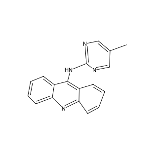 Cc1cnc(Nc2c3ccccc3nc3ccccc23)nc1